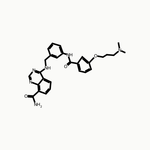 CN(C)CCCOc1cccc(C(=O)Nc2cccc(CNc3ncnc4c(C(N)=O)cccc34)c2)c1